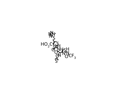 Cn1nnnc1SCC1=C(C(=O)O)N2C(=O)C(NC(=O)/C(=N\OC3CSC3)c3csc(NC(=O)C(F)(F)F)n3)[C@H]2SC1